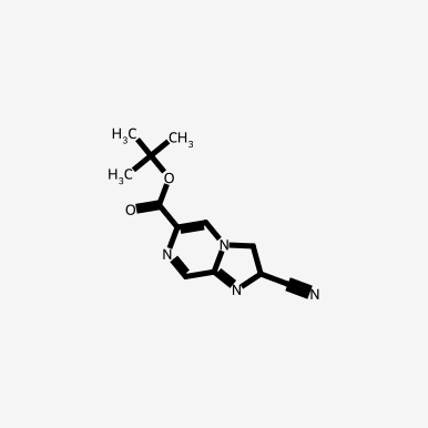 CC(C)(C)OC(=O)C1=CN2CC(C#N)N=C2C=N1